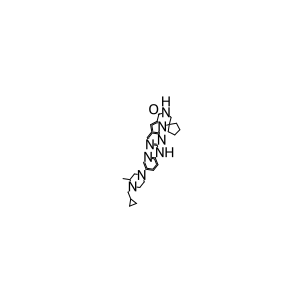 CC1CN(c2ccc(Nc3ncc4cc5n(c4n3)C3(CCCC3)CNC5=O)nc2)CCN1CC1CC1